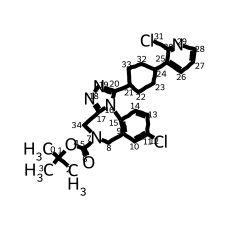 CC(C)(C)OC(=O)N1Cc2cc(Cl)ccc2-n2c(nnc2C2CCC(c3cccnc3Cl)CC2)C1